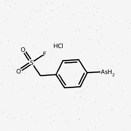 Cl.O=S(=O)(F)Cc1ccc([AsH2])cc1